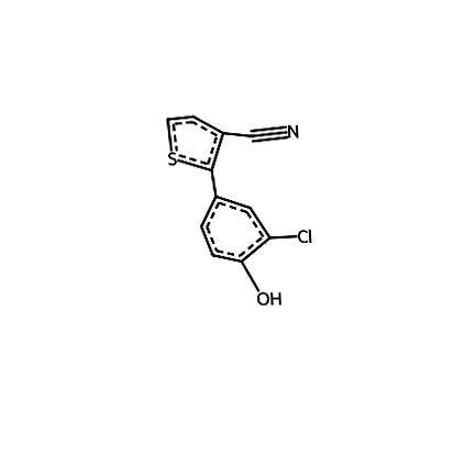 N#Cc1ccsc1-c1ccc(O)c(Cl)c1